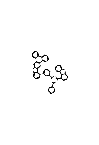 C1=CC(c2nc(-c3ccccc3)nc(-c3cccc4sc5ccccc5c34)n2)CC(c2cccc3oc4ccc(-c5ccccc5-c5ccccc5)cc4c23)=C1